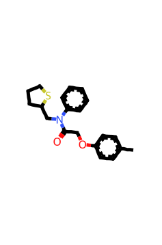 Cc1ccc(OCC(=O)N(CC2CCCS2)c2ccccc2)cc1